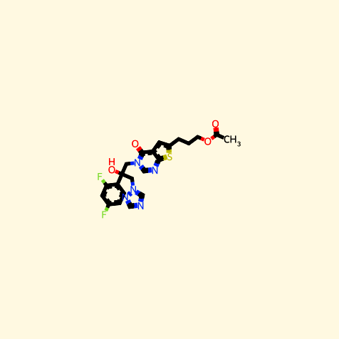 CC(=O)OCCCc1cc2c(=O)n(CC(O)(Cn3cncn3)c3ccc(F)cc3F)cnc2s1